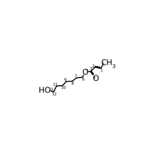 C/C=C/C(=O)OCCCCCCCO